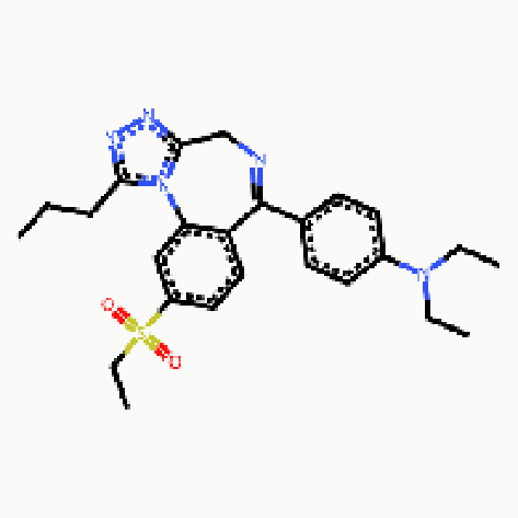 CCCc1nnc2n1-c1cc(S(=O)(=O)CC)ccc1C(c1ccc(N(CC)CC)cc1)=NC2